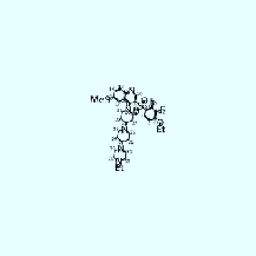 CCOc1ccc(S(=O)(=O)c2cnc3ccc(SC)cc3c2N2CCC(N3CCC(N4CCN(CC)CC4)CC3)CC2)c(F)c1F